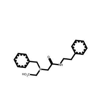 O=C(O)CN(CC(=O)NCCc1ccccc1)Cc1ccccc1